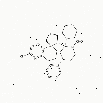 O=CN1CC[C@H](c2ccccc2)C[C@@]1(C1CCCCC1)[C@@H]1CNC[C@]12CCCc1nc(Cl)ccc12